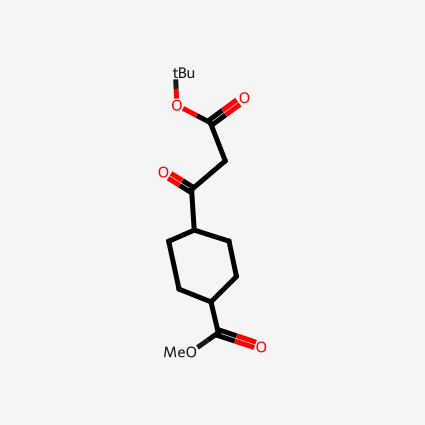 COC(=O)C1CCC(C(=O)CC(=O)OC(C)(C)C)CC1